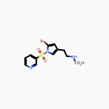 O=C(O)NCCc1cc(Br)n(S(=O)(=O)c2cccnc2)c1